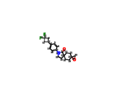 O=C1N(c2ccc(C3CC(F)(F)C3)cc2)CCC12CCC1(CC2)CO1